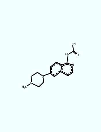 CCCC(=O)Nc1nccc2cc(N3CCN(C)CC3)ccc12